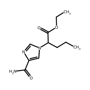 CCCC(C(=O)OCC)n1cnc(C(N)=O)c1